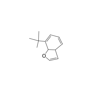 CC(C)(C)C1=CC=CC2C=COC12